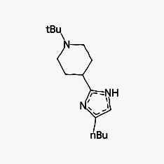 CCCCc1c[nH]c(C2CCN(C(C)(C)C)CC2)n1